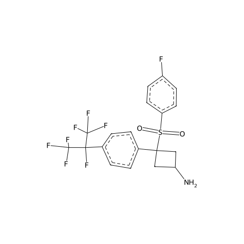 NC1CC(c2ccc(C(F)(C(F)(F)F)C(F)(F)F)cc2)(S(=O)(=O)c2ccc(F)cc2)C1